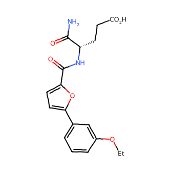 CCOc1cccc(-c2ccc(C(=O)N[C@@H](CCC(=O)O)C(N)=O)o2)c1